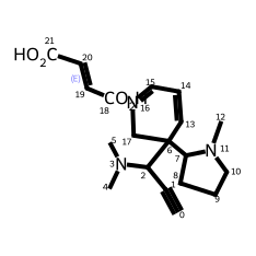 C#CC(N(C)C)C1(C2CCCN2C)C=CC=NC1.O=C(O)/C=C/C(=O)O